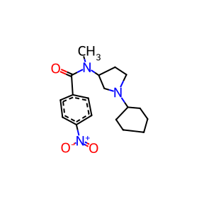 CN(C(=O)c1ccc([N+](=O)[O-])cc1)C1CCN(C2CCCCC2)C1